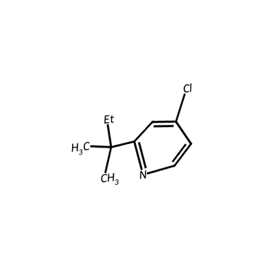 CCC(C)(C)c1cc(Cl)ccn1